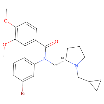 COc1ccc(C(=O)N(C[C@@H]2CCCN2CC2CC2)c2cccc(Br)c2)cc1OC